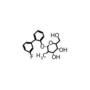 CC1[C@H](Oc2ccccc2-c2cccc(F)c2)OC(CO)[C@H](O)[C@@H]1O